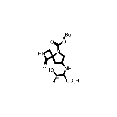 C[C@@H](O)C(NC1CN(C(=O)OC(C)(C)C)C2(CNC2=O)C1)C(=O)O